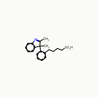 CC1=Nc2ccccc2C1(C)c1ccccc1CCCCS(=O)(=O)O